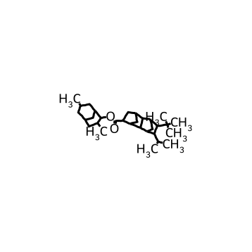 CC1CC2CC(C)C(OC(=O)C3CC4CC3C3C5CC(C43)C(C(C)(C)C)C5C(C)C)C(C1)C2